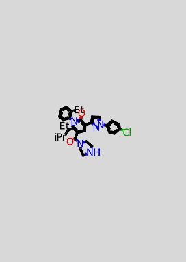 CCc1cccc(CC)c1-n1c(CC(C)C)c(C(=O)N2CCNCC2)cc(-c2ccn(-c3ccc(Cl)cc3)n2)c1=O